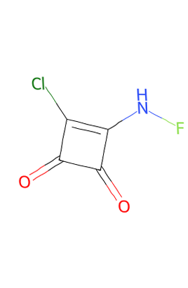 O=c1c(Cl)c(NF)c1=O